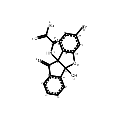 CCC(C)C(=O)C(=O)NC12C(=O)c3ccccc3C1(O)Oc1cc(C(C)C)ccc12